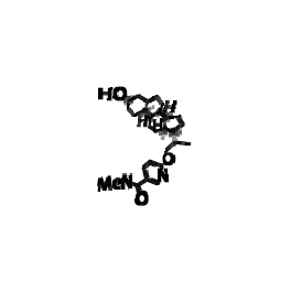 CNC(=O)c1ccc(OCC(C)[C@H]2CC[C@H]3[C@@H]4CC=C5C[C@@H](O)CC[C@]5(C)[C@H]4CC[C@]23C)nc1